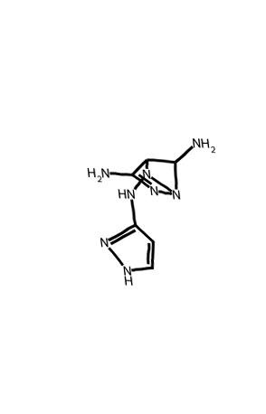 NC1=NN2C(N)C1N2Nc1cc[nH]n1